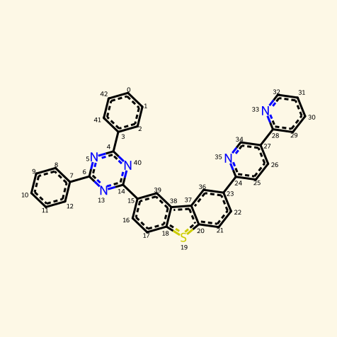 c1ccc(-c2nc(-c3ccccc3)nc(-c3ccc4sc5ccc(-c6ccc(-c7ccccn7)cn6)cc5c4c3)n2)cc1